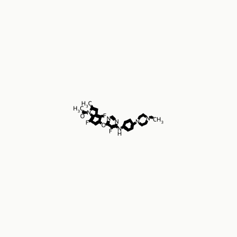 CCN1CCN(c2ccc(Nc3ncnc(Oc4cc(F)c5c(cc(C)n5C(C)=O)c4F)c3F)cc2)CC1